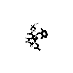 Cc1cccc(C)c1Cn1cc2c(c1C(=O)N1C[C@](C)(O)CO1)c(=O)n(C)c(=O)n2CC(C)C